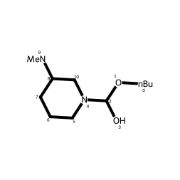 CCCCOC(O)N1CCCC(NC)C1